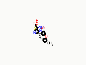 Cc1cccc(Oc2ccc(N3C(=O)Nc4c(C(=O)O)sc5nccc3c45)c(C)c2)c1